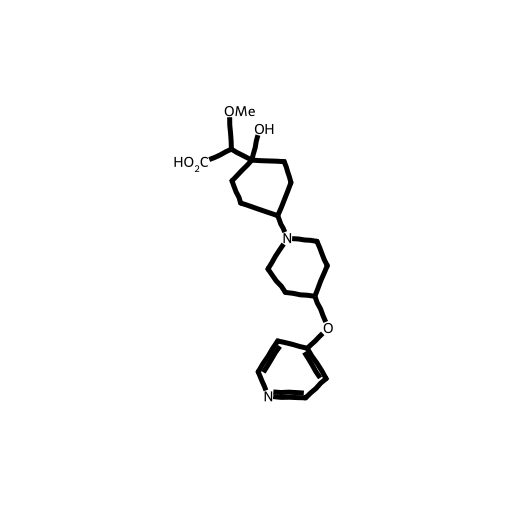 COC(C(=O)O)C1(O)CCC(N2CCC(Oc3ccncc3)CC2)CC1